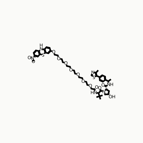 Cc1ncsc1-c1ccc(C(C)NC(=O)[C@@H]2C[C@@H](O)CN2C(=O)C(NC(=O)COCCOCCOCCOCCOCCOCCOc2ccc3c(c2)Sc2cc([N+](=O)[O-])ccc2N3)C(C)(C)C)cc1